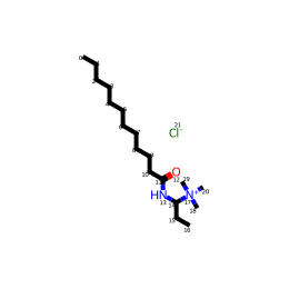 CCCCCCCCCCCC(=O)NC(CC)[N+](C)(C)C.[Cl-]